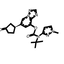 Cn1ccc(N(C(=O)Oc2cc([C@H]3CCC(=O)C3)cn3ncnc23)C(C)(C)C)n1